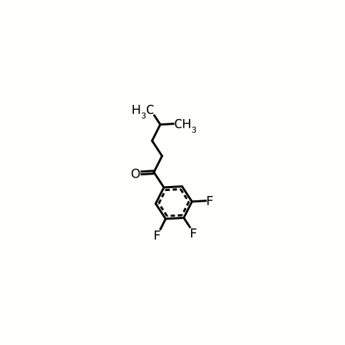 CC(C)CCC(=O)c1cc(F)c(F)c(F)c1